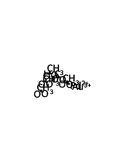 CC(=O)[O-].CC(=O)[O-].CC(=O)[O-].CC(=O)[O-].CC(=O)[O-].[Au+3].[Pd+2]